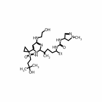 C=C(CCC(CC)NC(=O)NC1C=NN(C)C1)C1N=C(NCCO)C=C(C2(S(=O)(=O)CCC(C)(C)O)CC2)N1